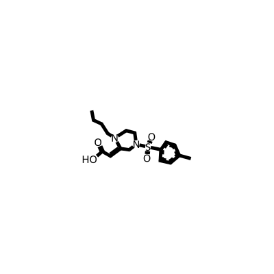 CCCCN1CCN(S(=O)(=O)c2ccc(C)cc2)CC1=CC(=O)O